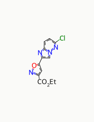 CCOC(=O)c1cc(-c2cn3nc(Cl)ccc3n2)on1